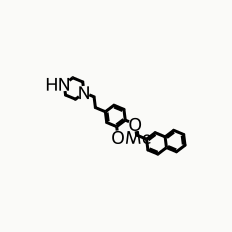 COc1cc(CCN2CCNCC2)ccc1OCc1ccc2ccccc2c1